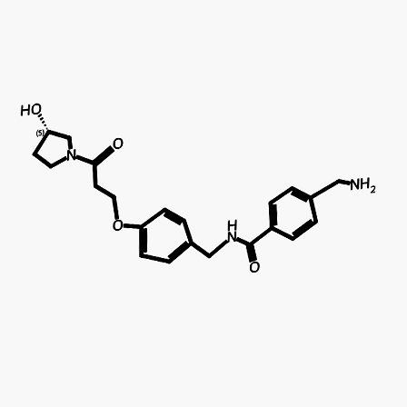 NCc1ccc(C(=O)NCc2ccc(OCCC(=O)N3CC[C@H](O)C3)cc2)cc1